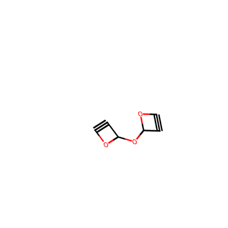 C1#CC(OC2C#CO2)O1